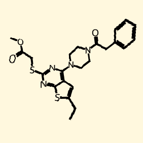 CCc1cc2c(N3CCN(C(=O)Cc4ccccc4)CC3)nc(SCC(=O)OC)nc2s1